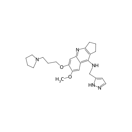 COc1cc2c(NCc3ccn[nH]3)c3c(nc2cc1OCCCN1CCCC1)CCC3